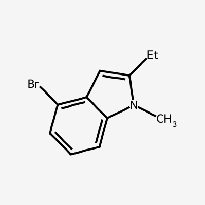 CCc1cc2c(Br)cccc2n1C